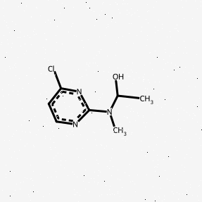 CC(O)N(C)c1nccc(Cl)n1